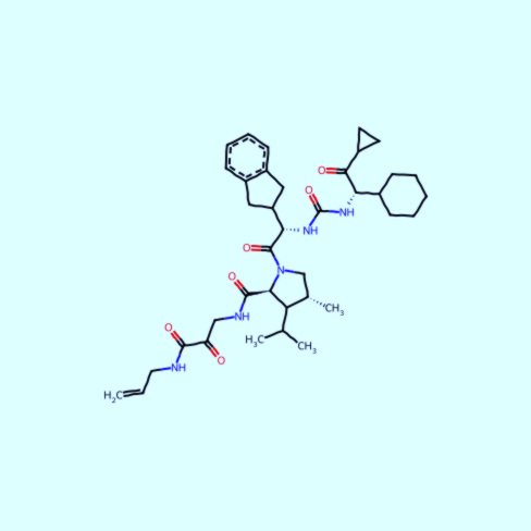 C=CCNC(=O)C(=O)CNC(=O)[C@@H]1C(C(C)C)[C@@H](C)CN1C(=O)[C@@H](NC(=O)N[C@H](C(=O)C1CC1)C1CCCCC1)C1Cc2ccccc2C1